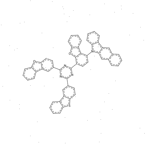 c1ccc2cc3c(cc2c1)c1ccccc1n3-c1ccc(-c2nc(-c3ccc4oc5ccccc5c4c3)nc(-c3ccc4sc5ccccc5c4c3)n2)c2oc3ccccc3c12